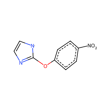 O=[N+]([O-])c1ccc(OC2=NC=C[N]2)cc1